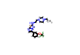 CCN1CCN(CCNc2nn3c(-c4cccc(OC(F)(F)F)c4)cnc3s2)CC1